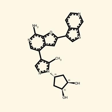 Cc1c(-c2cnc(N)c3oc(-c4csc5cnccc45)cc23)cnn1[C@@H]1C[C@@H](O)[C@@H](O)C1